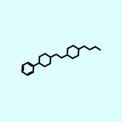 CCCCC1CCC(CCC2CCC(c3cc[c]cc3)CC2)CC1